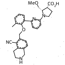 COC[C@@H]1[C@H](C(=O)O)CCN1c1cccc(-c2cccc(C)c2OCc2ccc3c(c2C#N)CCNC3)n1